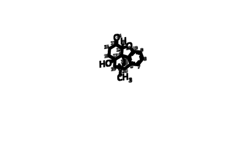 CN1CC[C@]23c4c5cccc4O[C@H]2C(=O)CCC3(O)C1C5